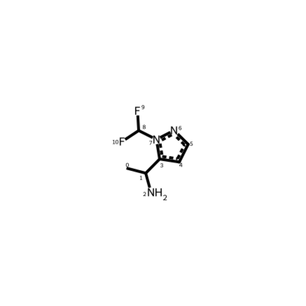 CC(N)c1ccnn1C(F)F